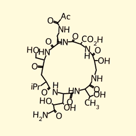 CC(=O)C(=O)NCC1NC(=O)C(C(=O)O)NC(=O)C(O)CNC(=O)C(C(C)O)NC(=O)C(C(O)C(O)C(N)=O)NC(=O)C(C(C)C)CC(=O)C(CO)NC1=O